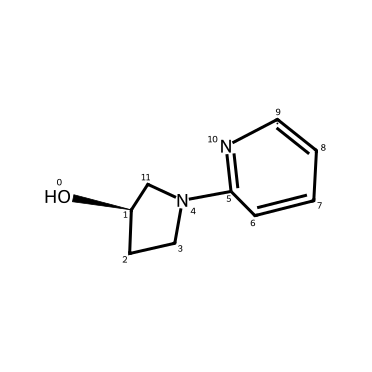 O[C@@H]1CCN(c2ccc[c]n2)C1